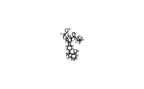 COC[C@@H](C)Oc1nc(C(=O)N2CC(F)(F)C2)cc(N2CCC(C3=NCc4nccc(OC)c43)CC2)n1